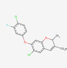 O=C(O)C1=Cc2cc(Cl)c(Oc3ccc(Cl)c(F)c3)cc2OC1C(F)(F)F